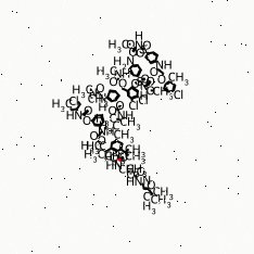 CCC(CCl)NC(=O)Oc1cccc(NC(=O)OC)c1.CN(C)C(=O)Nc1cccc(OC(=O)NC(C)(C)C)c1.CNC(=O)OCc1ccc(Cl)c(Cl)c1.CNC(=O)Oc1c(C(C)(C)C)cc(C)cc1C(C)(C)C.COC(=O)NS(=O)(=O)c1ccc(N)cc1.COC(=O)NS(=O)(=O)c1ccc(NC(=O)COc2ccc(Cl)cc2C)cc1.COC(=O)Nc1cc(C(C)(C)C)on1